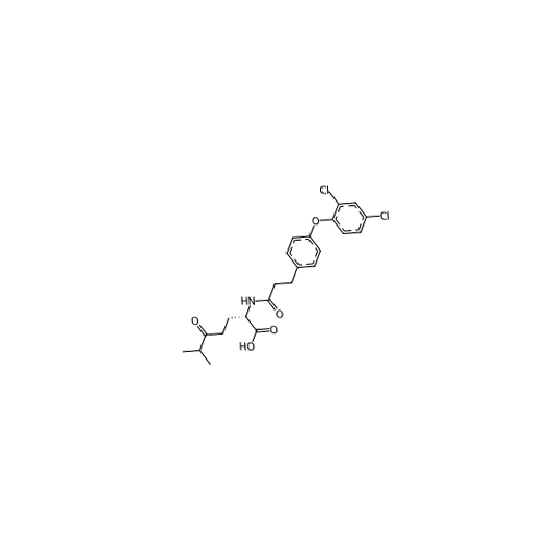 CC(C)C(=O)CC[C@H](NC(=O)CCc1ccc(Oc2ccc(Cl)cc2Cl)cc1)C(=O)O